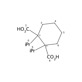 CC(C)C1(C(=O)O)CCCCC1(C(=O)O)C(C)C